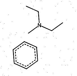 CCN(C)CC.c1ccccc1